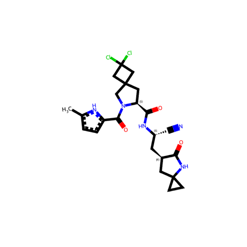 Cc1ccc(C(=O)N2CC3(C[C@H]2C(=O)N[C@H](C#N)C[C@@H]2CC4(CC4)NC2=O)CC(Cl)(Cl)C3)[nH]1